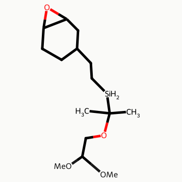 COC(COC(C)(C)[SiH2]CCC1CCC2OC2C1)OC